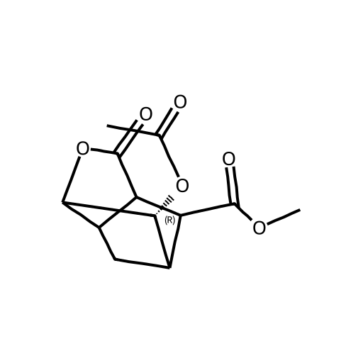 COC(=O)C1C2C(=O)OC3C2CC1[C@H]3OC(C)=O